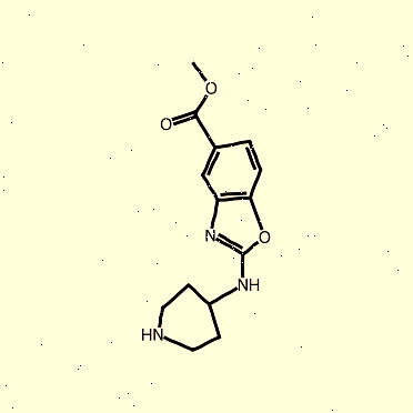 COC(=O)c1ccc2oc(NC3CCNCC3)nc2c1